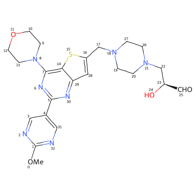 COc1ncc(-c2nc(N3CCOCC3)c3sc(CN4CCN(C[C@H](O)C=O)CC4)cc3n2)cn1